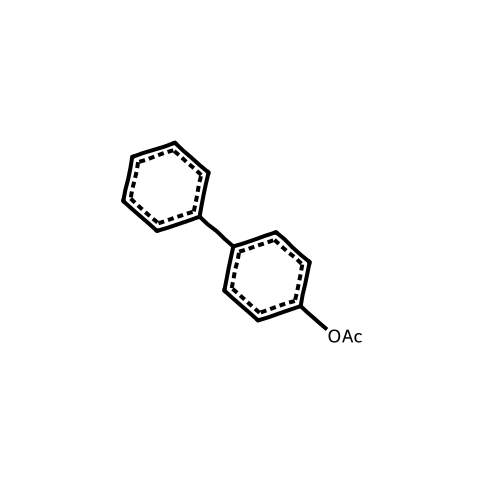 CC(=O)Oc1ccc(-c2ccccc2)cc1